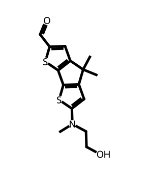 CN(CCO)c1cc2c(s1)-c1sc(C=O)cc1C2(C)C